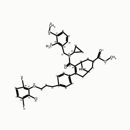 COC(=O)C1CC2CC(c3ccc(CCCOc4c(F)ccc(F)c4Cl)cc3)=C(C(=O)N(Cc3cccc(OC)c3C)C3CC3)C(C1)N2